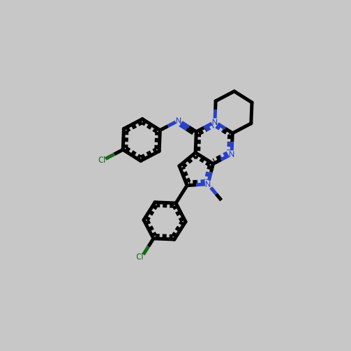 Cn1c(-c2ccc(Cl)cc2)cc2/c(=N\c3ccc(Cl)cc3)n3c(nc21)CCCC3